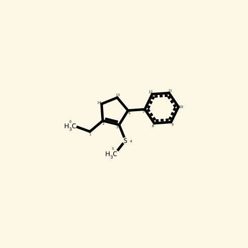 CCC1=C(SC)C(c2ccccc2)CC1